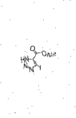 COC(=O)c1[nH]nnc1I